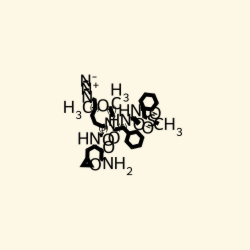 C[C@@H]1CN(C(=O)[C@@H](NC(=O)NC2(CS(C)(=O)=O)CCCCC2)C2CCCCC2)[C@H](C(=O)NC(CC2CC2)C(=O)C(N)=O)CC[C@@](C)(CN=[N+]=[N-])O1